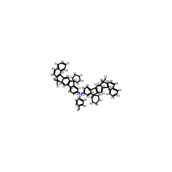 Cc1ccc(N(c2ccc3c(c2)C2(CCCCC2)c2cc4c(cc2-3)C(C)(C)c2ccc3ccccc3c2-4)c2ccc3c(c2)C2(CCCCC2)c2cc4c(cc2-3)C(C)(C)c2ccc3ccccc3c2-4)cc1